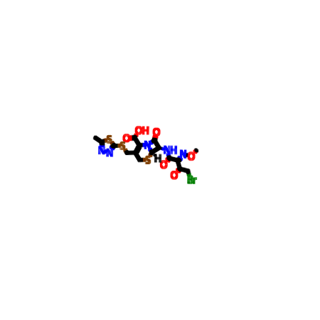 CON=C(C(=O)CBr)C(=O)N[C@@H]1C(=O)N2C(C(=O)O)=C(CSc3nnc(C)s3)CS[C@H]12